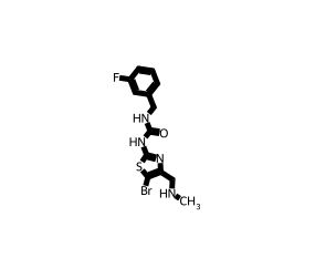 CNCc1nc(NC(=O)NCc2cccc(F)c2)sc1Br